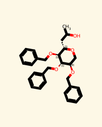 CC(O)C[C@@H]1OC[C@@H](OCc2ccccc2)[C@H](OCc2ccccc2)[C@H]1OCc1ccccc1